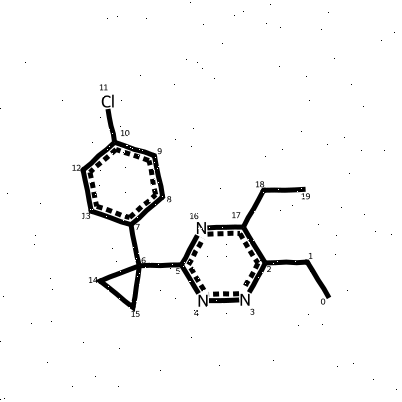 CCc1nnc(C2(c3ccc(Cl)cc3)CC2)nc1CC